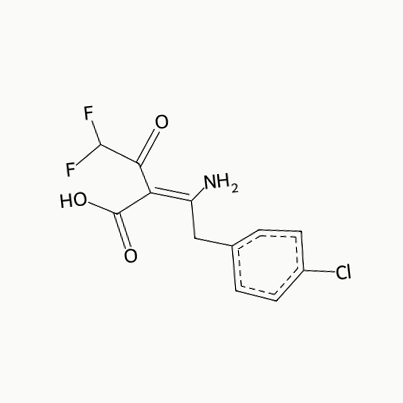 NC(Cc1ccc(Cl)cc1)=C(C(=O)O)C(=O)C(F)F